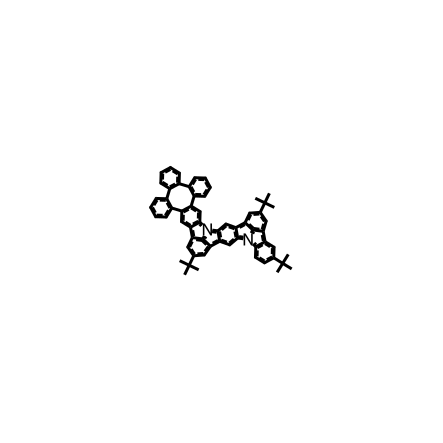 CC(C)(C)c1ccc2c(c1)c1cc(C(C)(C)C)cc3c4cc5c(cc4n2c13)c1cc(C(C)(C)C)cc2c3cc4c(cc3n5c21)-c1ccccc1-c1ccccc1-c1ccccc1-4